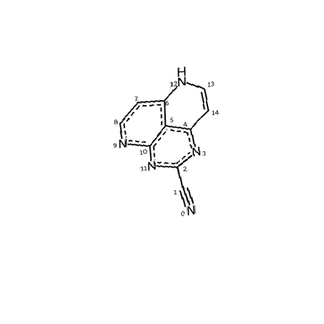 N#Cc1nc2c3c(ccnc3n1)NC=C2